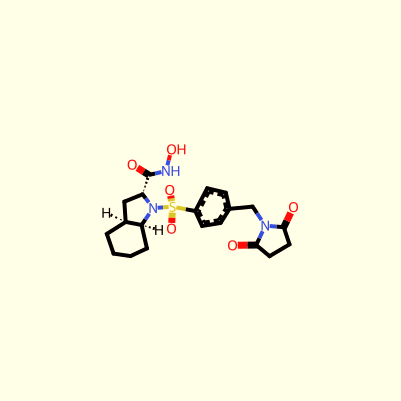 O=C(NO)[C@H]1C[C@@H]2CCCC[C@@H]2N1S(=O)(=O)c1ccc(CN2C(=O)CCC2=O)cc1